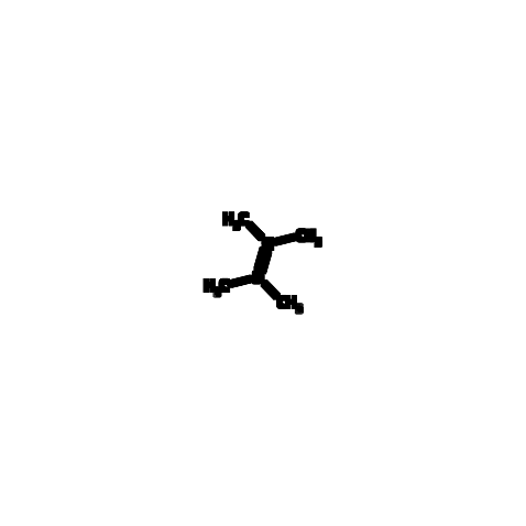 C[Si](C)=[Si](C)C